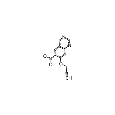 C#CCOc1cc2ncncc2cc1[N+](=O)[O-]